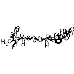 C=CC(c1csc(N2CCOCC2)n1)C(OCC(=O)NCCOCCOCCOCCNC(O)COc1cccc2c1C(=O)N(CC(=O)NC(=O)CO)C2=O)/C(F)=C/F